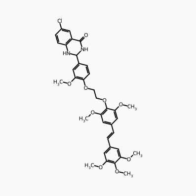 COc1cc(C2NC(=O)c3cc(Cl)ccc3N2)ccc1OCCOc1c(OC)cc(C=Cc2cc(OC)c(OC)c(OC)c2)cc1OC